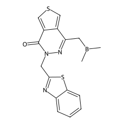 CB(C)Cc1nn(Cc2nc3ccccc3s2)c(=O)c2cscc12